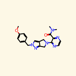 COc1ccc(Cn2cc3c(n2)CN(c2nccnc2C(=O)N(C)C)C3)cc1